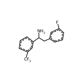 NC(Cc1cccc(F)c1)c1cccc(C(F)(F)F)c1